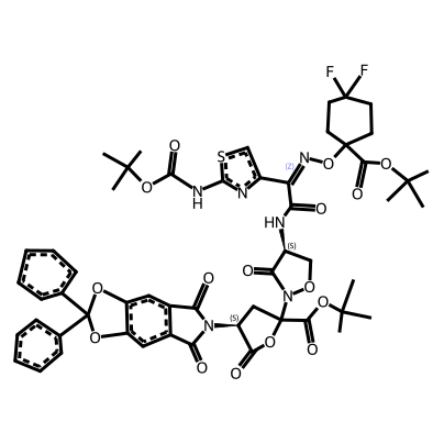 CC(C)(C)OC(=O)Nc1nc(/C(=N/OC2(C(=O)OC(C)(C)C)CCC(F)(F)CC2)C(=O)N[C@H]2CON(C3(C(=O)OC(C)(C)C)C[C@H](N4C(=O)c5cc6c(cc5C4=O)OC(c4ccccc4)(c4ccccc4)O6)C(=O)O3)C2=O)cs1